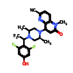 CC1CN(c2cc(=O)n(C)c3ccc(C#N)nc23)[C@@H](C)CN1C(c1c(F)cc(O)cc1F)C(F)(F)F